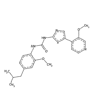 COc1cc(CC(C)C)ccc1NC(=O)Nc1ncc(-c2ccncc2OC)s1